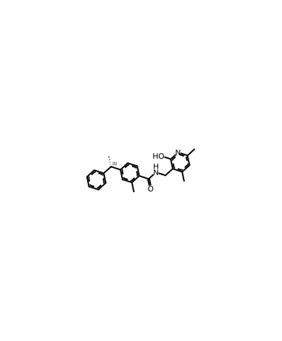 Cc1cc(C)c(CNC(=O)c2ccc([C@@H](C)c3ccccc3)cc2C)c(O)n1